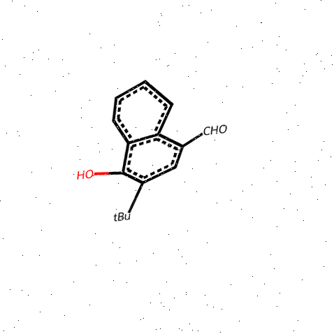 CC(C)(C)c1cc(C=O)c2ccccc2c1O